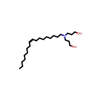 CCCCCCCC/C=C\CCCCCCCCN(CCCO)CCCO